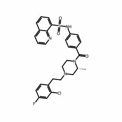 C[C@@H]1CN(CCc2ccc(F)cc2Cl)CCN1C(=O)c1ccc(NS(=O)(=O)c2cccc3cccnc23)cc1